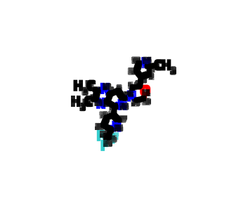 Cc1cc(C2CN(c3cc4nc(C)c(C)nc4c(-c4ccc(C(F)(F)F)nc4)n3)CCO2)ccn1